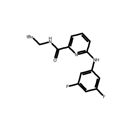 CC(C)(C)CNC(=O)c1cccc(Nc2cc(F)cc(F)c2)n1